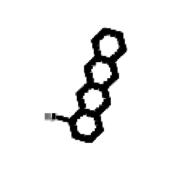 Nc1cccc2cc3cc4ccccc4cc3cc12